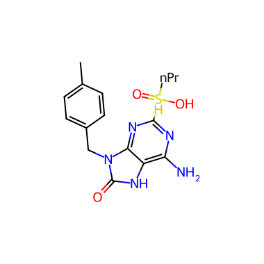 CCC[SH](=O)(O)c1nc(N)c2[nH]c(=O)n(Cc3ccc(C)cc3)c2n1